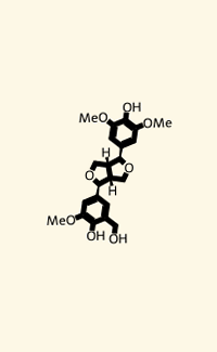 COc1cc([C@H]2OC[C@H]3[C@@H]2CO[C@@H]3c2cc(OC)c(O)c(OC)c2)cc(CO)c1O